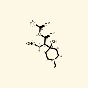 CN1CCC(S)([C@@H](NC=O)C(=O)OC(=O)C(F)(F)F)CC1